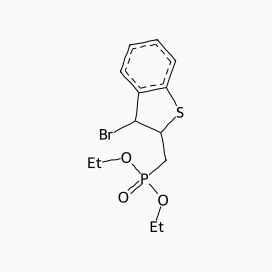 CCOP(=O)(CC1Sc2ccccc2C1Br)OCC